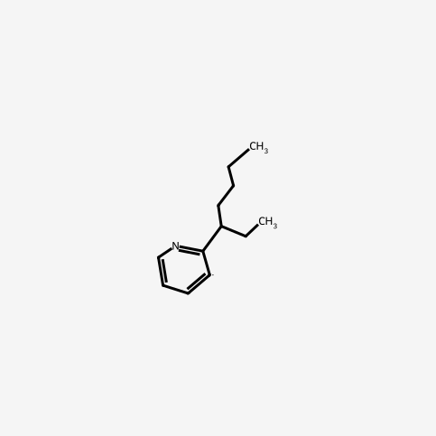 CCCCC(CC)c1[c]cccn1